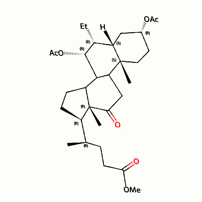 CC[C@H]1[C@@H](OC(C)=O)C2C3CC[C@H]([C@H](C)CCC(=O)OC)[C@@]3(C)C(=O)CC2[C@@]2(C)CC[C@@H](OC(C)=O)C[C@@H]12